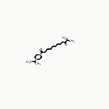 CC(C)C(=O)CCCCCCCCC(=O)N1CCN(C(C)C)CC1